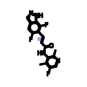 Cc1ncc(F)c(C)c1NC(=O)/C=C/c1c(F)cc2cn[nH]c2c1F